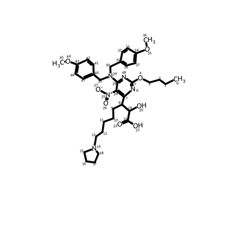 CCCCOc1nc(C(CCCCCN2CCCC2)C(O)C(=O)O)c([N+](=O)[O-])c(N(Cc2ccc(OC)cc2)Cc2ccc(OC)cc2)n1